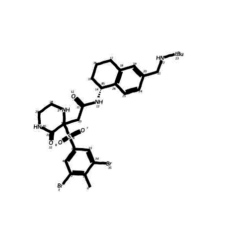 Cc1c(Br)cc(S(=O)(=O)C2(CC(=O)N[C@@H]3CCCc4cc(CNC(C)(C)C)ccc43)NCCNC2=O)cc1Br